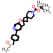 C[S+]([O-])Cc1ccc(-c2cc3c(cn2)OC2(C3)CC3(CCN(C(=O)OC(C)(C)C)CC3)C2)cc1